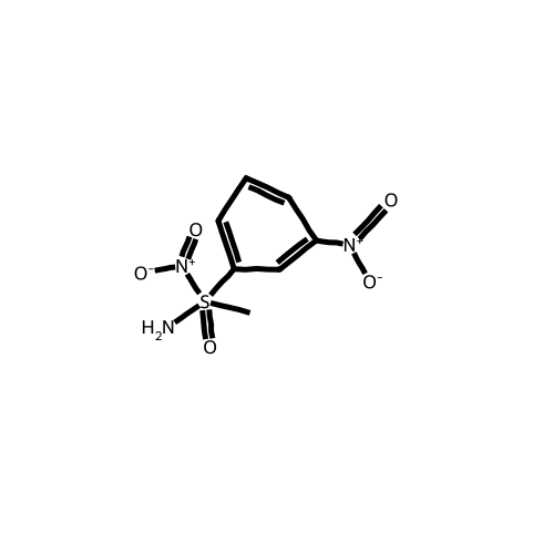 CS(N)(=O)(c1cccc([N+](=O)[O-])c1)[N+](=O)[O-]